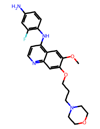 COc1cc2c(Nc3ccc(N)cc3F)ccnc2cc1OCCCN1CCOCC1